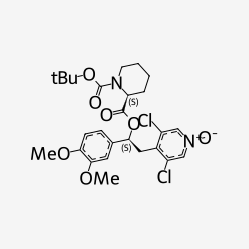 COc1ccc([C@H](Cc2c(Cl)c[n+]([O-])cc2Cl)OC(=O)[C@@H]2CCCCN2C(=O)OC(C)(C)C)cc1OC